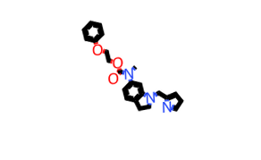 CN(C(=O)OCCOc1ccccc1)c1ccc2c(c1)N(CC1=CCC=N1)CC2